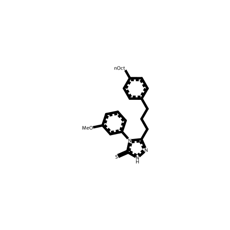 CCCCCCCCc1ccc(CCCc2n[nH]c(=S)n2-c2cccc(OC)c2)cc1